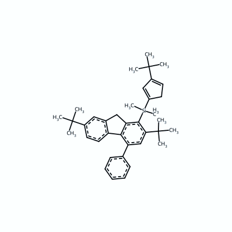 CC(C)(C)C1=CCC([Si](C)(C)c2c(C(C)(C)C)cc(-c3ccccc3)c3c2Cc2cc(C(C)(C)C)ccc2-3)=C1